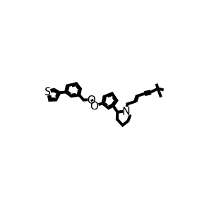 CC(C)(C)C#C/C=C/CN1CCCCC1c1cccc(OOCc2cccc(-c3ccsc3)c2)c1